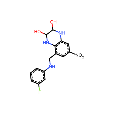 O=[N+]([O-])c1cc(CNc2cccc(F)c2)c2c(c1)NC(O)C(O)N2